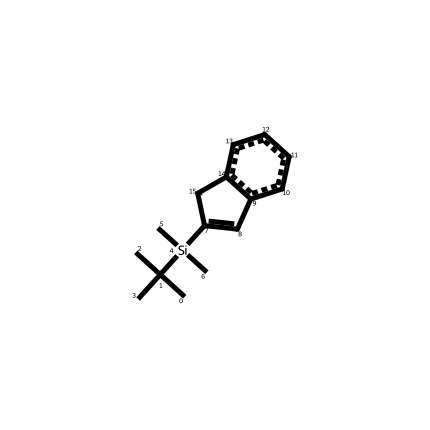 CC(C)(C)[Si](C)(C)C1=Cc2ccccc2[C]1